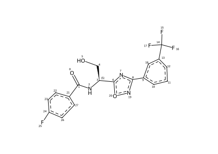 O=C(N[C@@H](CO)c1nc(-c2cccc(C(F)(F)F)c2)no1)c1ccc(F)cc1